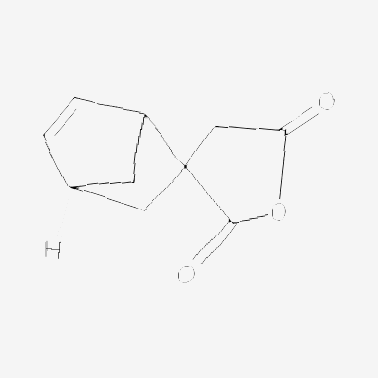 O=C1CC2(C[C@H]3C=CC2C3)C(=O)O1